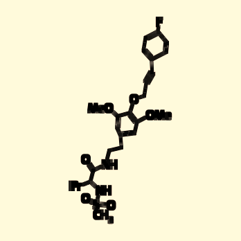 COc1cc(CCNC(=O)C(NS(C)(=O)=O)C(C)C)cc(OC)c1OCC#Cc1ccc(F)cc1